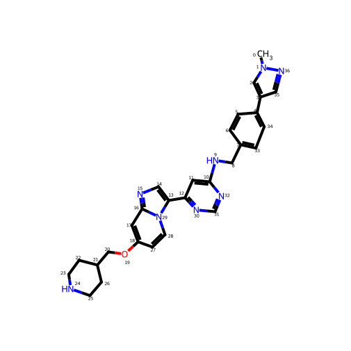 Cn1cc(-c2ccc(CNc3cc(-c4cnc5cc(OCC6CCNCC6)ccn45)ncn3)cc2)cn1